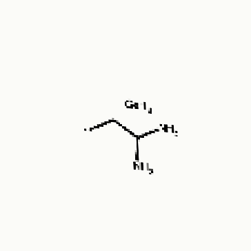 [CH2]CC(N)N.[GeH4]